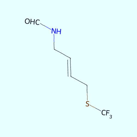 O=CNCC=CCSC(F)(F)F